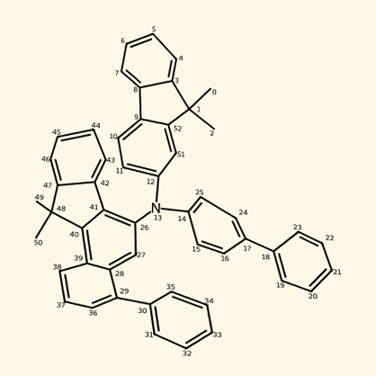 CC1(C)c2ccccc2-c2ccc(N(c3ccc(-c4ccccc4)cc3)c3cc4c(-c5ccccc5)cccc4c4c3-c3ccccc3C4(C)C)cc21